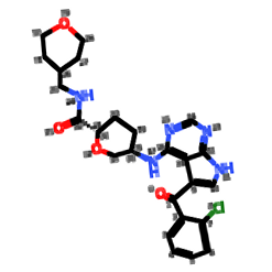 O=C(c1ccccc1Cl)c1c[nH]c2ncnc(N[C@@H]3CC[C@@H](C(=O)NCC4CCOCC4)OC3)c12